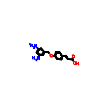 Nc1cc(N)cc(COc2ccc(C=CC(=O)O)cc2)c1